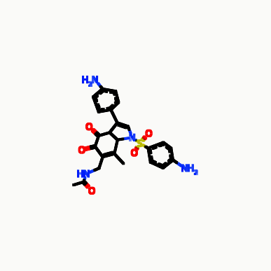 CC(=O)NCC1=C(C)C2C(C(=O)C1=O)C(c1ccc(N)cc1)=CN2S(=O)(=O)c1ccc(N)cc1